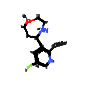 COc1ncc(F)cc1C1CCOCCN1